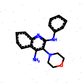 Nc1c(N2CCOCC2)c(Nc2ccccc2)nc2ccccc12